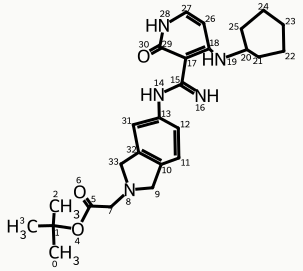 CC(C)(C)OC(=O)CN1Cc2ccc(NC(=N)c3c(NC4CCCCC4)cc[nH]c3=O)cc2C1